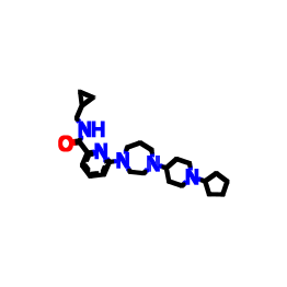 O=C(NCC1CC1)c1cccc(N2CCCN(C3CCN(C4CCCC4)CC3)CC2)n1